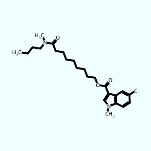 CCCCN(C)C(=O)CCCCCCCCOC(=O)c1cn(C)c2ccc(Cl)cc12